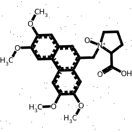 COc1cc2cc(C[N+]3([O-])CCCC3C(=O)O)c3cc(OC)c(OC)cc3c2cc1OC